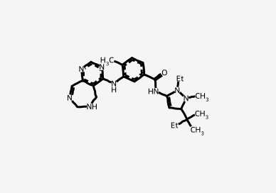 CCN1C(NC(=O)c2ccc(C)c(Nc3ncnc4c3CNCN=C4)c2)=CC(C(C)(C)CC)N1C